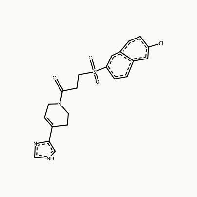 O=C(CCS(=O)(=O)c1ccc2cc(Cl)ccc2c1)N1CC=C(c2c[nH]cn2)CC1